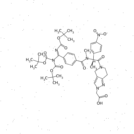 CN(C(=O)c1ccc(C(=NC(=O)OC(C)(C)C)N(C(=O)OC(C)(C)C)C(=O)OC(C)(C)C)cc1)[C@@](C)(C(=O)N1CCc2nn(CC(=O)O)cc2C1)c1ccc([N+](=O)[O-])cc1